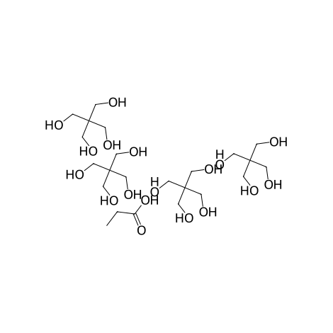 CCC(=O)O.OCC(CO)(CO)CO.OCC(CO)(CO)CO.OCC(CO)(CO)CO.OCC(CO)(CO)CO